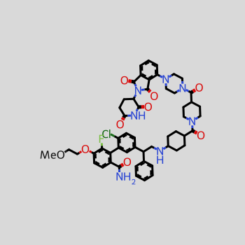 COCCOc1ccc(C(N)=O)c(-c2cc(C(CNC3CCC(C(=O)N4CCC(C(=O)N5CCN(c6cccc7c6C(=O)N(C6CCC(=O)NC6=O)C7=O)CC5)CC4)CC3)c3ccccc3)ccc2Cl)c1F